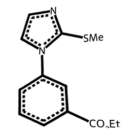 CCOC(=O)c1cccc(-n2ccnc2SC)c1